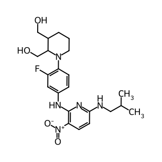 CC(C)CNc1ccc([N+](=O)[O-])c(Nc2ccc(N3CCCC(CO)C3CO)c(F)c2)n1